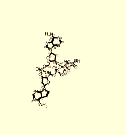 Nc1ncnc2c1ccn2[C@H]1CC(OP(=O)(O)OC[C@H]2O[C@@H](n3cnc4c(N)ncnc43)CC2O)[C@@H](COP(=O)(O)OP(=O)(O)OP(=O)(O)O)O1